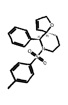 Cc1ccc(S(=O)(=O)N2CCC[C@@]3(C=CCO3)[C@@H]2c2ccccc2)cc1